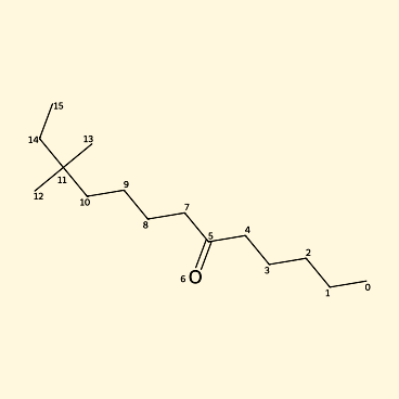 CCCCCC(=O)CCCCC(C)(C)CC